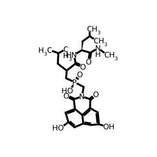 CNC(=O)[C@H](CC(C)C)NC(=O)C(CC(C)C)CP(=O)(O)CN1C(=O)c2cc(O)cc3cc(O)cc(c23)C1=O